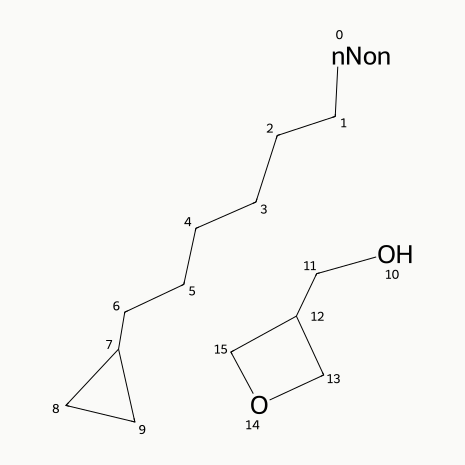 CCCCCCCCCCCCCCCC1CC1.OCC1COC1